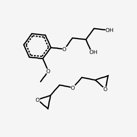 C(OCC1CO1)C1CO1.COc1ccccc1OCC(O)CO